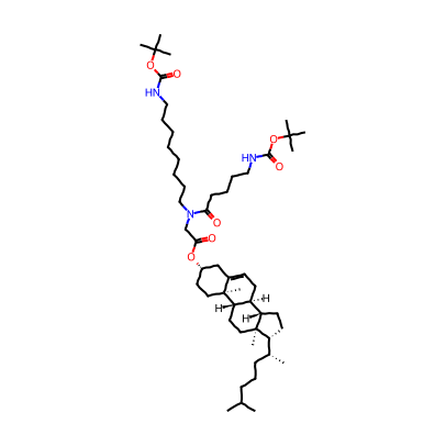 CC(C)CCC[C@@H](C)[C@H]1CC[C@H]2[C@@H]3CC=C4C[C@@H](OC(=O)CN(CCCCCCCCNC(=O)OC(C)(C)C)C(=O)CCCCNC(=O)OC(C)(C)C)CC[C@]4(C)[C@H]3CC[C@]12C